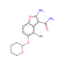 CCCc1c(OC2CCCCO2)ccc2oc(N)c(C(N)=O)c12